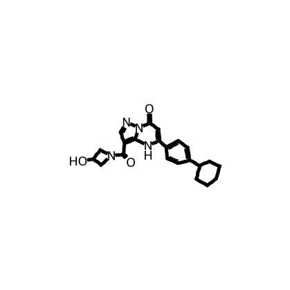 O=C(c1cnn2c(=O)cc(-c3ccc(C4CCCCC4)cc3)[nH]c12)N1CC(O)C1